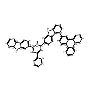 c1ccc(C2=NC(c3ccc4c(c3)oc3cccc(-c5ccc6c7ccccc7c7ccccc7c6c5)c34)NC(c3ccc4c(c3)oc3ccccc34)=N2)cc1